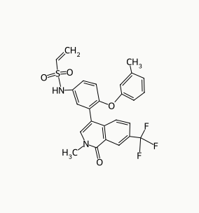 C=CS(=O)(=O)Nc1ccc(Oc2cccc(C)c2)c(-c2cn(C)c(=O)c3cc(C(F)(F)F)ccc23)c1